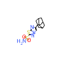 NS(=O)(=O)c1nn2cc(C34CC5CC(CC(C5)C3)C4)nc2s1